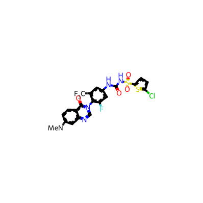 CNc1ccc2c(=O)n(-c3c(F)cc(NC(=O)NS(=O)(=O)c4ccc(Cl)s4)cc3C(F)(F)F)cnc2c1